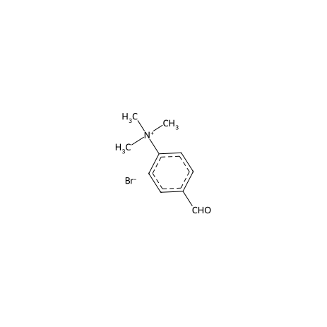 C[N+](C)(C)c1ccc(C=O)cc1.[Br-]